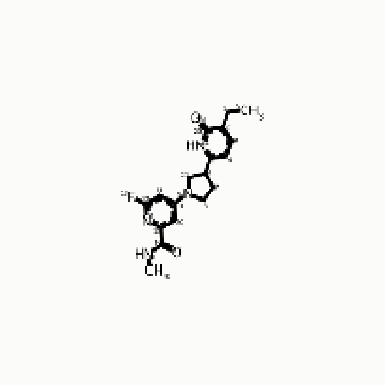 CCc1ccc(C2CCN(c3cc(F)nc(C(=O)NC)c3)C2)[nH]c1=O